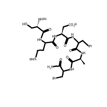 CSCCC(NC(=O)[C@H](CO)NC(C)=O)C(=O)N[C@@H](CC(=O)O)C(=O)NC(CC(C)C)C(=O)N[C@@H](C)C(=O)NC(CC(C)C)C(N)=O